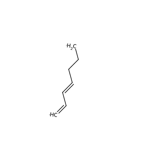 [CH]=C/C=C/CC[CH2]